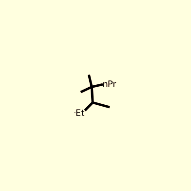 C[CH]C(C)C(C)(C)CCC